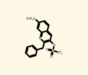 CCOC(=O)c1ccc2cc(OS(=O)(=O)C(F)(F)F)c(Cc3ccccc3)nc2c1